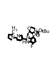 CC1CCCN1c1ccc(C2Nc3c(F)ccc(O)c3N2C[C@@H]2CN(C(=O)OC(C)(C)C)CCO2)cn1